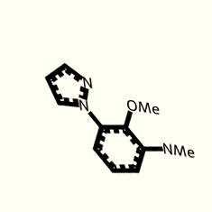 CNc1cccc(-n2cccn2)c1OC